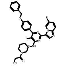 N#CCC(=O)N1CCC[C@@H](Nc2nc(-c3cnc4ccc(F)cn34)nc(-c3ccc(OCc4ccccc4)cc3)c2F)C1